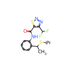 CC(C)SC(C)c1ccccc1NC(=O)c1snnc1C(F)F